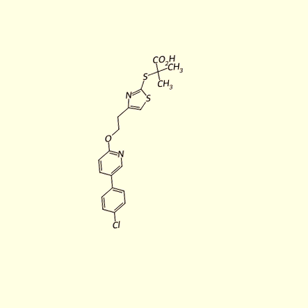 CC(C)(Sc1nc(CCOc2ccc(-c3ccc(Cl)cc3)cn2)cs1)C(=O)O